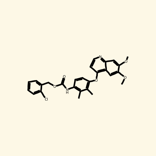 COc1cc2nccc(Oc3ccc(NC(=O)OCc4ccccc4Cl)c(C)c3C)c2cc1OC